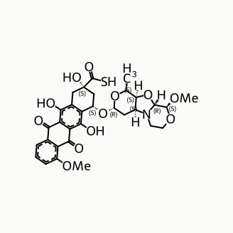 COc1cccc2c1C(=O)c1c(O)c3c(c(O)c1C2=O)C[C@@](O)(C(=O)S)C[C@@H]3O[C@H]1C[C@H]2[C@H](O[C@@H]3[C@@H](OC)OCCN32)[C@H](C)O1